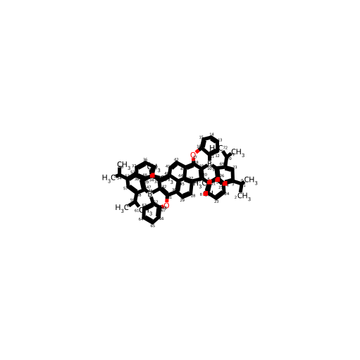 CC(C)c1cc(C(C)C)c(B2c3ccccc3Oc3c2c(-c2ccccc2)c2ccc4c5c(c(-c6ccccc6)c6ccc3c2c46)B(c2c(C(C)C)cc(C(C)C)cc2C(C)C)c2ccccc2O5)c(C(C)C)c1